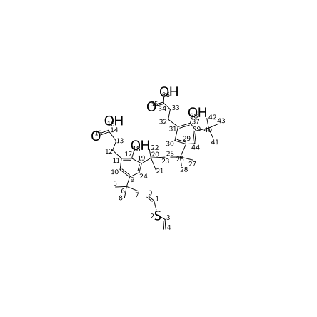 C=CSC=C.CC(C)(C)c1cc(CCC(=O)O)c(O)c(C(C)(C)C)c1.CC(C)(C)c1cc(CCC(=O)O)c(O)c(C(C)(C)C)c1